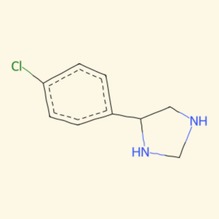 Clc1ccc(C2CNCN2)cc1